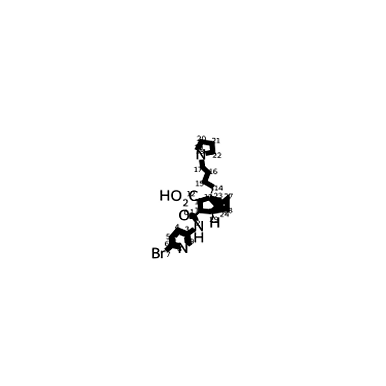 O=C(Nc1ccc(Br)nc1)[C@H]1[C@@H](C(=O)O)[C@@]2(CCCCN3CCCC3)CC[C@@H]1C21CC1